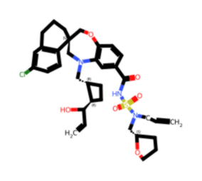 C=CCN(C[C@@H]1CCCO1)S(=O)(=O)NC(=O)c1ccc2c(c1)N(C[C@@H]1CC[C@H]1C(O)C=C)C[C@@]1(CCCc3cc(Cl)ccc31)CO2